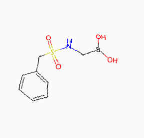 O=S(=O)(Cc1ccccc1)NCB(O)O